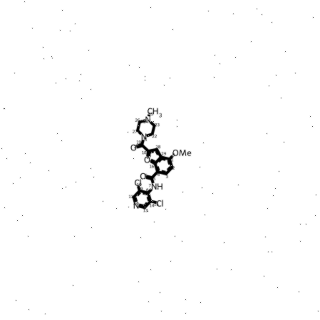 COc1ccc(C(=O)Nc2c(Cl)cncc2Cl)c2oc(C(=O)N3CCN(C)CC3)cc12